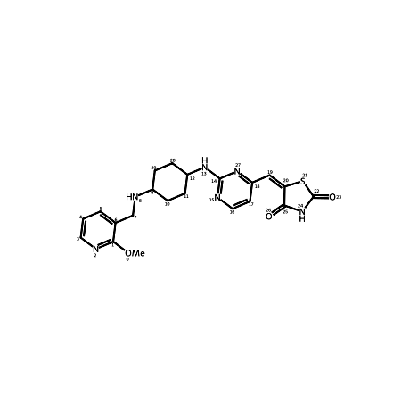 COc1ncccc1CNC1CCC(Nc2nccc(C=C3SC(=O)NC3=O)n2)CC1